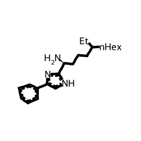 CCCCCCC(CC)CCC[C@@H](N)c1nc(-c2ccccc2)c[nH]1